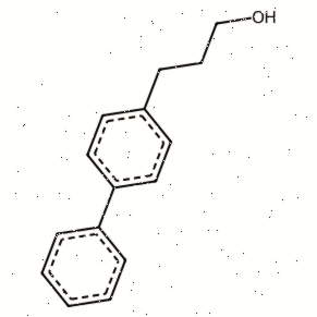 OCCCc1ccc(-c2ccccc2)cc1